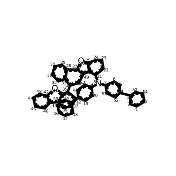 c1ccc(-c2ccc(N(c3ccc(-c4ccccc4)cc3)c3cccc4oc5c6ccccc6c(-c6cccc7c6oc6ccccc67)cc5c34)cc2)cc1